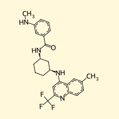 CNc1cccc(C(=O)N[C@@H]2CCC[C@H](Nc3cc(C(F)(F)F)nc4ccc(C)cc34)C2)c1